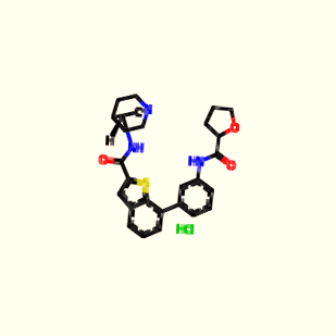 Cl.O=C(N[C@H]1CN2CCC1CC2)c1cc2cccc(-c3cccc(NC(=O)C4CCCO4)c3)c2s1